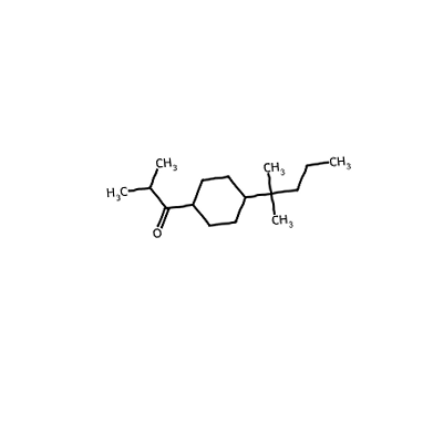 CCCC(C)(C)C1CCC(C(=O)C(C)C)CC1